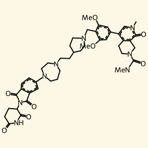 CNC(=O)N1CCc2c(-c3cc(OC)c(CN4CCC(CCN5CCCN(c6ccc7c(c6)C(=O)N(C6CCC(=O)NC6=O)C7=O)CC5)CC4)c(OC)c3)cn(C)c(=O)c2C1